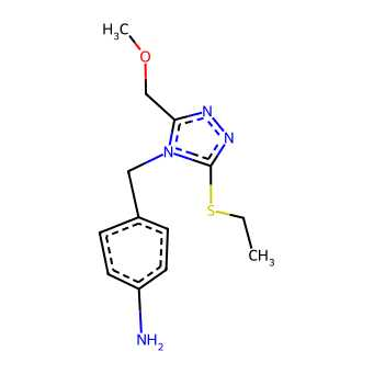 CCSc1nnc(COC)n1Cc1ccc(N)cc1